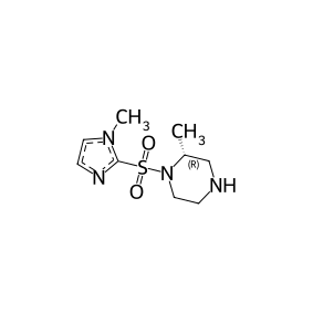 C[C@@H]1CNCCN1S(=O)(=O)c1nccn1C